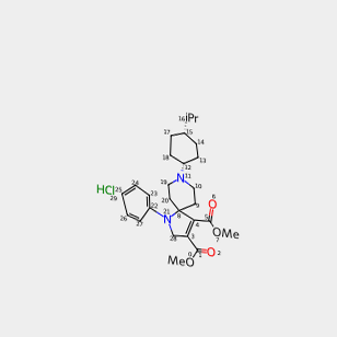 COC(=O)C1=C(C(=O)OC)C2(CCN([C@H]3CC[C@@H](C(C)C)CC3)CC2)N(c2ccccc2)C1.Cl